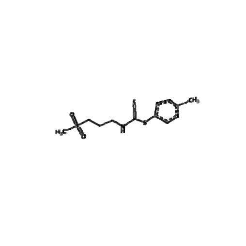 Cc1ccc(SC(=S)NCCCS(C)(=O)=O)cc1